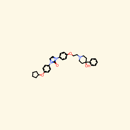 O=c1n(-c2ccc(OCCN3CCC(O)(c4ccccc4)CC3)cc2)ccn1-c1ccc(OC2CCCC2)cc1